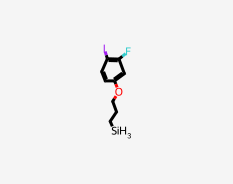 Fc1cc(OCCC[SiH3])ccc1I